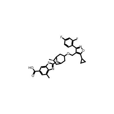 Cc1cc(C(=O)O)cc2sc(N3C4CC(OCc5c(-c6ccc(F)cc6F)noc5C5CC5)CC3[C@H](C)C4)nc12